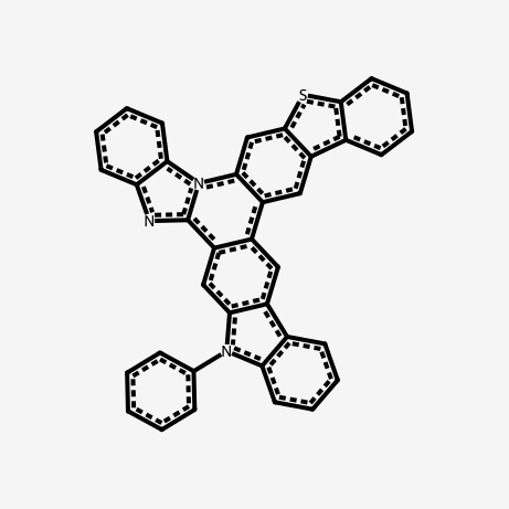 c1ccc(-n2c3ccccc3c3cc4c5cc6c(cc5n5c7ccccc7nc5c4cc32)sc2ccccc26)cc1